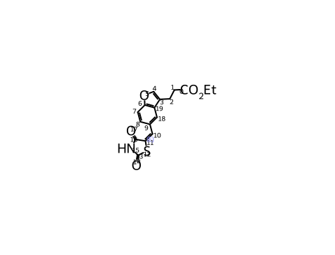 CCOC(=O)CCc1coc2ccc(/C=C3/SC(=O)NC3=O)cc12